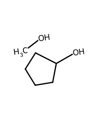 CO.OC1CCCC1